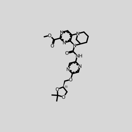 COC(=O)c1ncc2c(n1)N(C(=O)Nc1cnc(OC[C@H]3COC(C)(C)O3)cn1)C1CCCN2C1